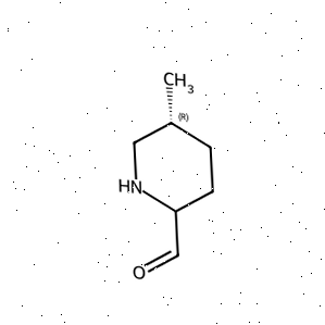 C[C@@H]1CCC(C=O)NC1